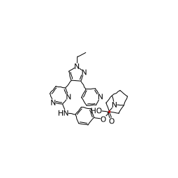 CCn1cc(-c2ccnc(Nc3ccc(OC4CC5CCC(C4)N5C(=O)O)cc3)n2)c(-c2cccnc2)n1